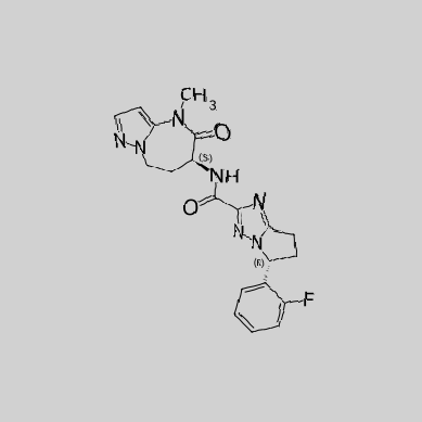 CN1C(=O)[C@@H](NC(=O)c2nc3n(n2)[C@@H](c2ccccc2F)CC3)CCn2nccc21